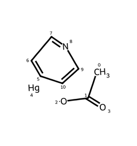 CC([O])=O.[Hg].c1ccncc1